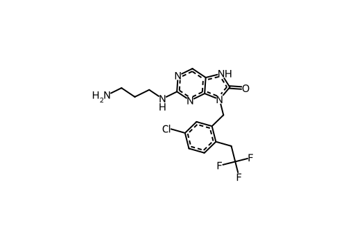 NCCCNc1ncc2[nH]c(=O)n(Cc3cc(Cl)ccc3CC(F)(F)F)c2n1